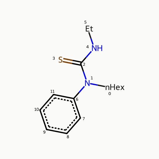 CCCCCCN(C(=S)NCC)c1ccccc1